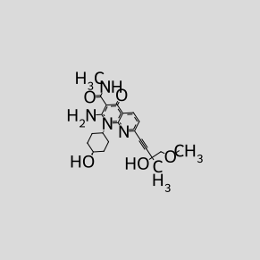 CNC(=O)c1c(N)n([C@H]2CC[C@H](O)CC2)c2nc(C#CC(C)(O)COC)ccc2c1=O